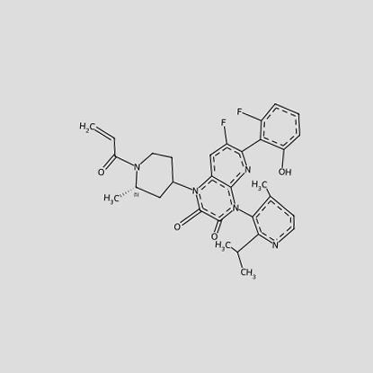 C=CC(=O)N1CCC(n2c(=O)c(=O)n(-c3c(C)ccnc3C(C)C)c3nc(-c4c(O)cccc4F)c(F)cc32)C[C@@H]1C